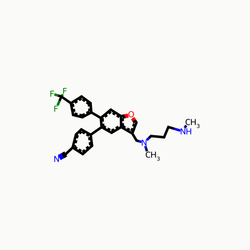 CNCCCN(C)Cc1coc2cc(-c3ccc(C(F)(F)F)cc3)c(-c3ccc(C#N)cc3)cc12